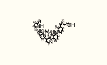 COc1nc(-c2ccnc(-c3cccc(Nc4nccc(CN(C)CCO)c4F)c3Cl)c2Cl)ccc1CNC[C@H]1CCC(=O)N1